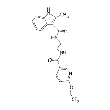 Cc1[nH]c2ccccc2c1C(=O)NCCNC(=O)c1ccc(OCC(F)(F)F)nc1